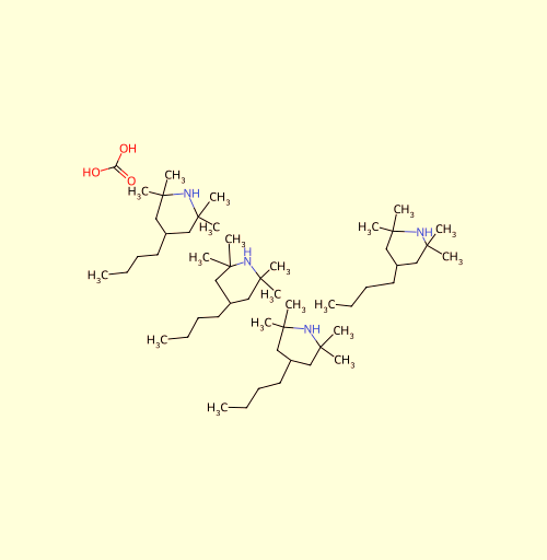 CCCCC1CC(C)(C)NC(C)(C)C1.CCCCC1CC(C)(C)NC(C)(C)C1.CCCCC1CC(C)(C)NC(C)(C)C1.CCCCC1CC(C)(C)NC(C)(C)C1.O=C(O)O